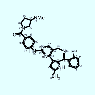 Bc1cc2c([nH]1)C(c1ccccc1F)=NCc1cnc(Nc3ccc(C(=O)N4CCC(NC)C4)cc3)nc1-2